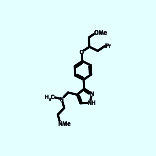 CNCCN(C)Cc1c[nH]nc1-c1ccc(OC(COC)CC(C)C)cc1